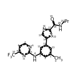 Cc1cc(Nc2nccc(C(F)(F)F)n2)cc(-c2cnc(C(=O)NC(C)C)s2)c1